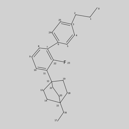 CCCc1ccc(-c2cccc(C34CCC(CC)(CC3)CC4)c2F)cc1